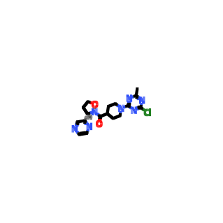 Cc1nc(Cl)nc(N2CCC(C(=O)N3OCC[C@H]3c3cnccn3)CC2)n1